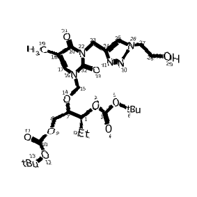 CC[C@H](OC(=O)OC(C)(C)C)C(COC(=O)OC(C)(C)C)OCn1cc(C)c(=O)n(Cc2cn(CCO)nn2)c1=O